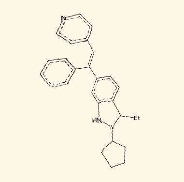 CCC1c2ccc(C(=Cc3ccncc3)c3ccccc3)cc2NN1C1CCCC1